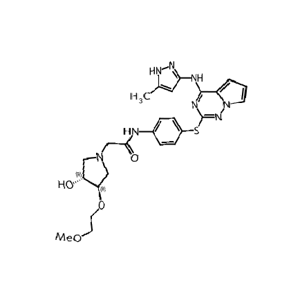 COCCO[C@@H]1CN(CC(=O)Nc2ccc(Sc3nc(Nc4cc(C)[nH]n4)c4cccn4n3)cc2)C[C@H]1O